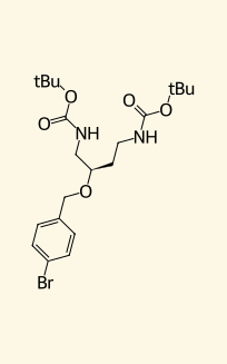 CC(C)(C)OC(=O)NCC[C@H](CNC(=O)OC(C)(C)C)OCc1ccc(Br)cc1